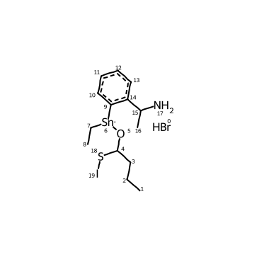 Br.CCCC([O][Sn]([CH2]C)[c]1ccccc1C(C)N)SI